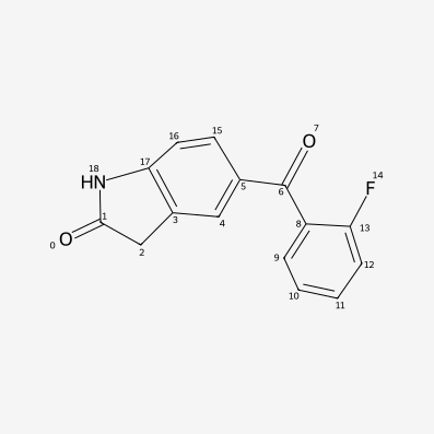 O=C1Cc2cc(C(=O)c3ccccc3F)ccc2N1